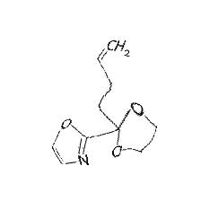 C=CCCC1(c2ncco2)OCCO1